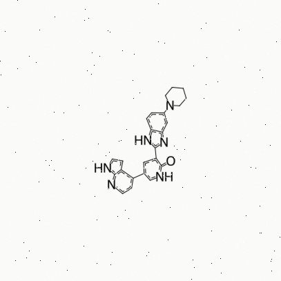 O=c1[nH]cc(-c2ccnc3[nH]ccc23)cc1-c1nc2cc(N3CCCCC3)ccc2[nH]1